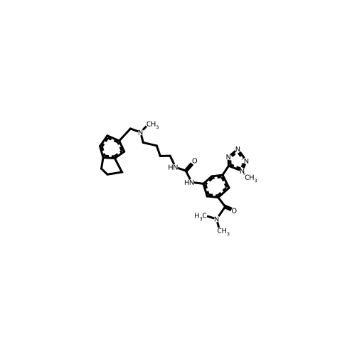 CN(CCCCNC(=O)Nc1cc(C(=O)N(C)C)cc(-c2nnnn2C)c1)Cc1ccc2c(c1)CCC2